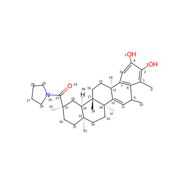 Cc1c(O)c(O)cc2c1C(C)C=C1[C@@]2(C)CC[C@@]2(C)[C@@H]3C[C@](C)(C(=O)N4CCCC4)CC[C@]3(C)CC[C@]12C